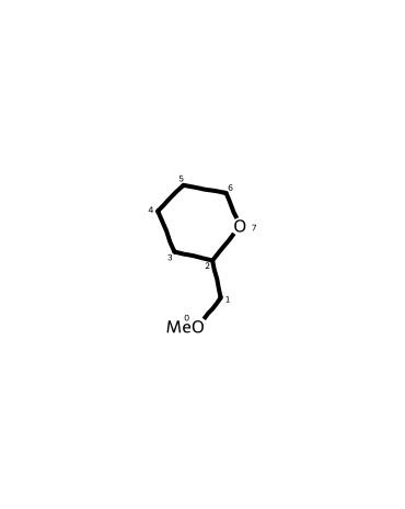 COCC1CCCCO1